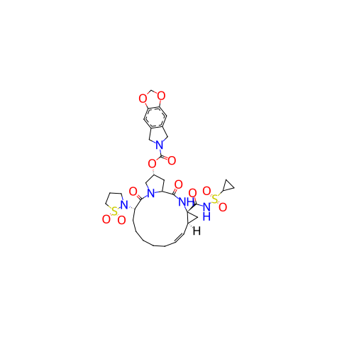 O=C1N[C@]2(C(=O)NS(=O)(=O)C3CC3)C[C@H]2/C=C\CCCCC[C@H](N2CCCS2(=O)=O)C(=O)N2C[C@H](OC(=O)N3Cc4cc5c(cc4C3)OCO5)CC12